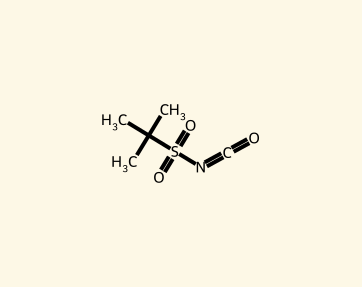 CC(C)(C)S(=O)(=O)N=C=O